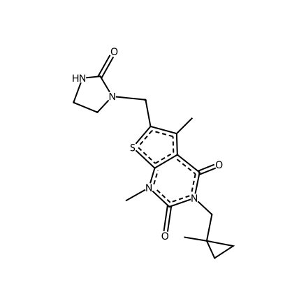 Cc1c(CN2CCNC2=O)sc2c1c(=O)n(CC1(C)CC1)c(=O)n2C